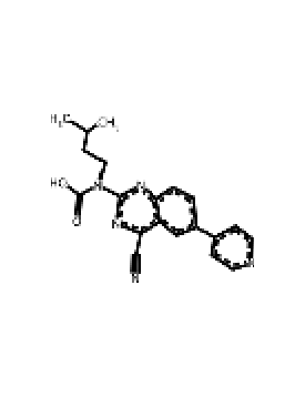 CC(C)CCN(C(=O)O)c1nc(C#N)c2cc(-c3ccncc3)ccc2n1